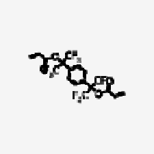 C=CC(=O)OC(c1ccc(C(OC(=O)C=C)(C(F)(F)F)C(F)(F)F)cc1)(C(F)(F)F)C(F)(F)F